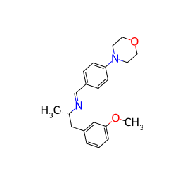 COc1cccc(C[C@H](C)/N=C/c2ccc(N3CCOCC3)cc2)c1